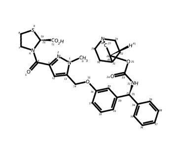 Cn1nc(C(=O)N2CCS[C@H]2C(=O)O)cc1COc1cccc([C@@H](NC(=O)O[C@H]2CN3CCC2CC3)c2ccccc2)c1